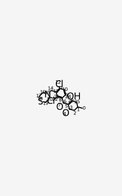 CC1CC(=O)C(C(=O)c2ccc(Cl)c(CN3CCSCC3)c2Cl)=C(O)C1